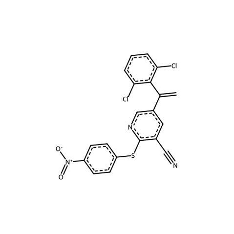 C=C(c1cnc(Sc2ccc([N+](=O)[O-])cc2)c(C#N)c1)c1c(Cl)cccc1Cl